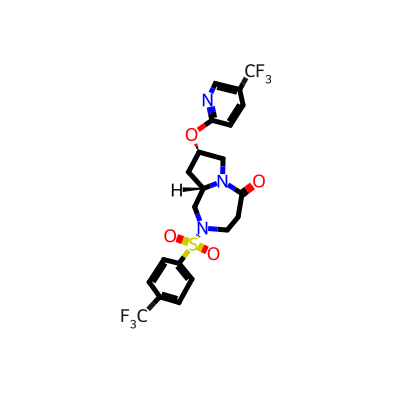 O=C1CCN(S(=O)(=O)c2ccc(C(F)(F)F)cc2)C[C@@H]2C[C@H](Oc3ccc(C(F)(F)F)cn3)CN12